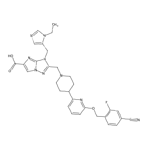 CCn1cncc1Cn1c(CN2CCC(c3cccc(OCc4ccc(C#N)cc4F)n3)CC2)nn2cc(C(=O)O)nc12